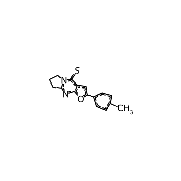 Cc1ccc(-c2cc3c(=S)n4c(nc3o2)CCC4)cc1